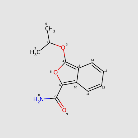 CC(C)Oc1oc(C(N)=O)c2ccccc12